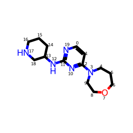 c1cc(N2CCCOCC2)nc(NC2CCCNC2)n1